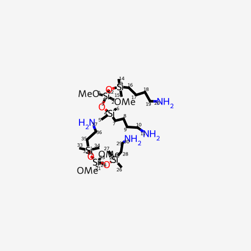 CO[Si](OC)(O[Si](C)(C)CCCCN)O[Si](C)(C)CCCCN.CO[Si](OC)(O[Si](C)(C)CCN)O[Si](C)(C)CCN